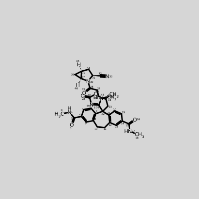 CNC(=O)c1ccc2c(c1)CCc1cc(C(=O)NC)ccc1C2(C[C@H](C)NCC(=O)N1[C@H](C#N)C[C@@H]2C[C@@H]21)c1nc(=O)on1C